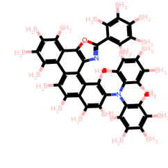 Bc1c(B)c(B)c(-c2nc3c(o2)c2c(B)c(B)c(B)c(B)c2c2c(B)c(B)c4c(B)c(B)c(N(c5c(B)c(B)c(B)c(B)c5B)c5c(B)c(B)c(B)c(B)c5B)c(B)c4c32)c(B)c1B